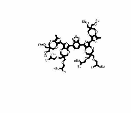 CCCCC(CC)COCC1(COCC(CC)CCCC)COc2c(-c3sc(C)c4c3OCC(COCC)(COCC)CO4)sc(-c3ccc(-c4sc(-c5sc(C)c6c5OCC(COCC)(COCC)CO6)c5c4OCC(COCC(CC)CCCC)(COCC(CC)CCCC)CO5)c4nsnc34)c2OC1